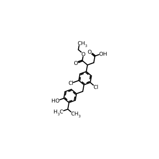 CCOC(=O)C(CC(=O)O)c1cc(Cl)c(Cc2ccc(O)c(C(C)C)c2)c(Cl)c1